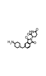 NC1CCN(Cc2ccc3c(c2)C(=O)N(C2CCC(=O)NC2=O)C3=O)CC1